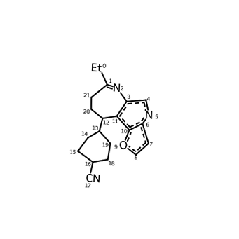 CCC1=Nc2cnc3ccoc3c2C(C2CCC(C#N)CC2)CC1